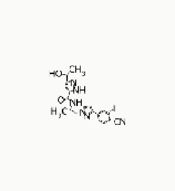 CC(O)c1cc(C(=O)N[C@@H](C)Cn2ccc(-c3ccc(C#N)c(I)c3)n2)[nH]n1